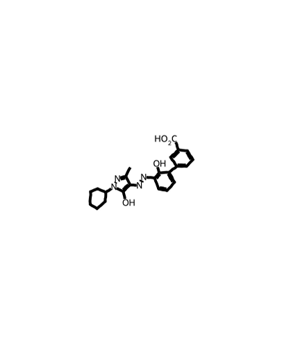 Cc1nn(C2CCCCC2)c(O)c1/N=N/c1cccc(-c2cccc(C(=O)O)c2)c1O